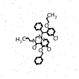 C=CCOc1ccc(Cl)cc1C(c1ccccc1)N1CN(CC=C)C(=O)c2c(OCc3ccccc3)c(=O)ccn21